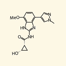 COc1ccc(-c2cnn(C)c2)c2nc(NC(=O)[C@@H]3C[C@@H]3O)[nH]c12